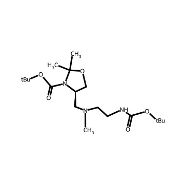 CN(CCNC(=O)OC(C)(C)C)C[C@@H]1COC(C)(C)N1C(=O)OC(C)(C)C